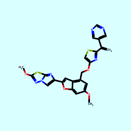 C=C(c1cncnc1)c1nc(OCc2cc(OC)cc3oc(-c4cn5nc(OC)sc5n4)cc23)cs1